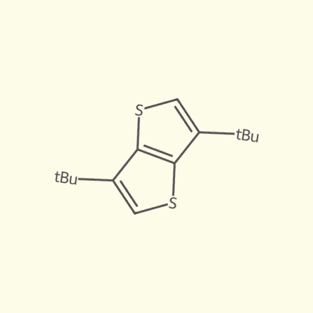 CC(C)(C)c1csc2c(C(C)(C)C)csc12